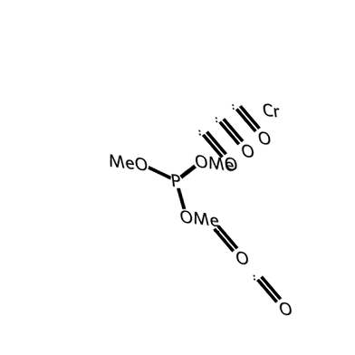 COP(OC)OC.[C]=O.[C]=O.[C]=O.[C]=O.[C]=O.[Cr]